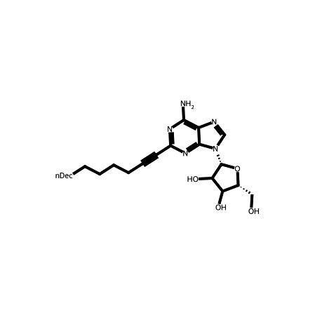 CCCCCCCCCCCCCCC#Cc1nc(N)c2ncn([C@@H]3O[C@H](CO)C(O)C3O)c2n1